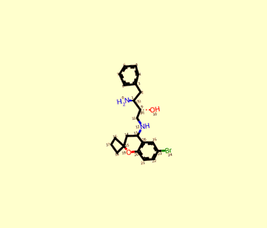 N[C@@H](Cc1ccccc1)[C@H](O)CNC1CC2(CCC2)Oc2ccc(Br)cc21